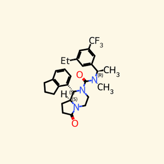 CCc1cc([C@@H](C)N(C)C(=O)N2CCN3C(=O)CC[C@H]3[C@@H]2c2cccc3c2CCC3)cc(C(F)(F)F)c1